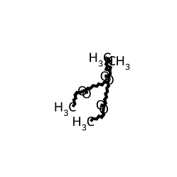 CCCC/C=C\COC(=O)CCCCCCCC(CCCCCCCC(=O)OC/C=C\CCCC)OC(=O)CC1CC(CN(C)C)C1